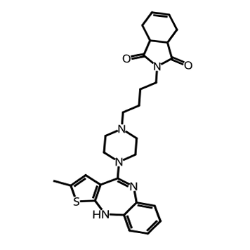 Cc1cc2c(s1)Nc1ccccc1N=C2N1CCN(CCCCN2C(=O)C3CC=CCC3C2=O)CC1